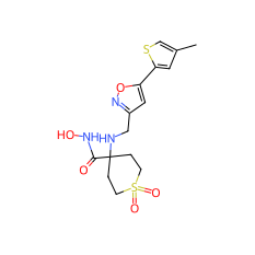 Cc1csc(-c2cc(CNC3(C(=O)NO)CCS(=O)(=O)CC3)no2)c1